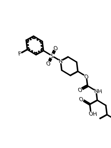 CC(C)CC(NC(=O)OC1CCN(S(=O)(=O)c2cccc(F)c2)CC1)C(=O)O